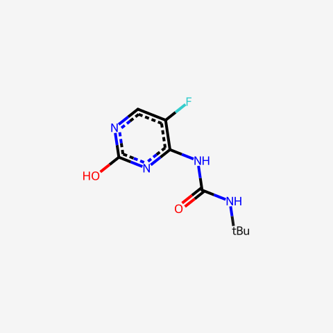 CC(C)(C)NC(=O)Nc1nc(O)ncc1F